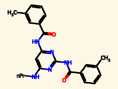 CCCNc1cc(NC(=O)c2cccc(C)c2)nc(NC(=O)c2cccc(C)c2)n1